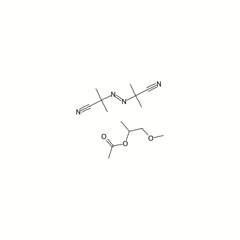 CC(C)(C#N)N=NC(C)(C)C#N.COCC(C)OC(C)=O